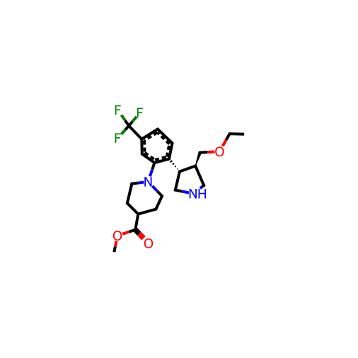 CCOC[C@H]1CNC[C@@H]1c1ccc(C(F)(F)F)cc1N1CCC(C(=O)OC)CC1